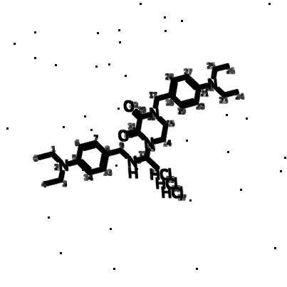 CCN(CC)c1ccc(CNC(C)N2CCN(Cc3ccc(N(CC)CC)cc3)C(=O)C2=O)cc1.Cl.Cl.Cl